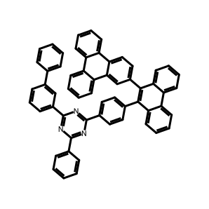 c1ccc(-c2cccc(-c3nc(-c4ccccc4)nc(-c4ccc(-c5c(-c6ccc7c8ccccc8c8ccccc8c7c6)c6ccccc6c6ccccc56)cc4)n3)c2)cc1